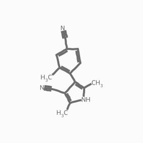 Cc1cc(C#N)ccc1-c1c(C)[nH]c(C)c1C#N